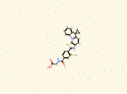 O=C(O)CNC(=O)c1ccc(-c2nc3ccc(C4(c5ccccc5)CC4)nc3s2)c(F)c1